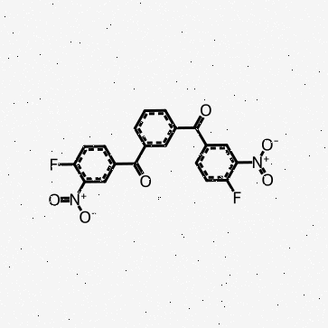 O=C(c1cccc(C(=O)c2ccc(F)c([N+](=O)[O-])c2)c1)c1ccc(F)c([N+](=O)[O-])c1